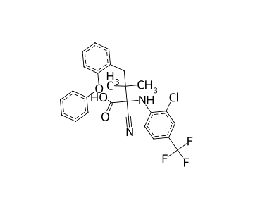 CC(C)(Cc1ccccc1Oc1ccccc1)C(C#N)(Nc1ccc(C(F)(F)F)cc1Cl)C(=O)O